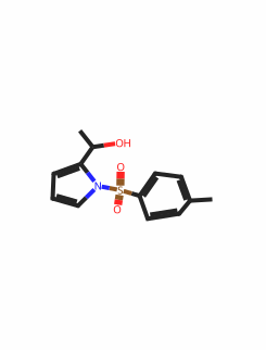 Cc1ccc(S(=O)(=O)n2cccc2C(C)O)cc1